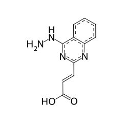 NNc1nc(C=CC(=O)O)nc2ccccc12